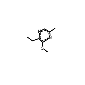 CCc1ncc(C)nc1SC